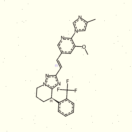 COc1cc(/C=C/c2nc3n(n2)CCC[C@@H]3c2ccccc2C(F)(F)F)cnc1-n1cnc(C)c1